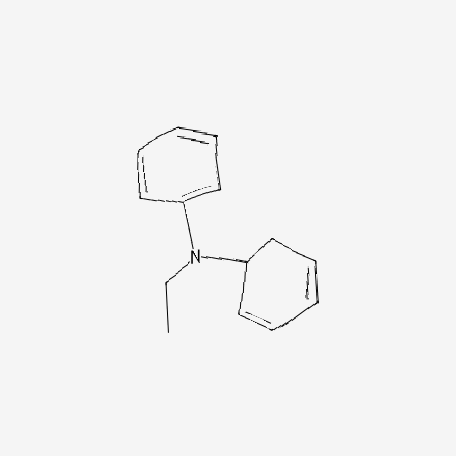 CCN(c1ccccc1)C1C=CC=CC1